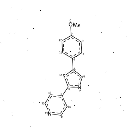 COc1ccc(-c2cnc(-c3ccncc3)s2)cc1